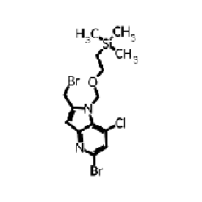 C[Si](C)(C)CCOCn1c(CBr)cc2nc(Br)cc(Cl)c21